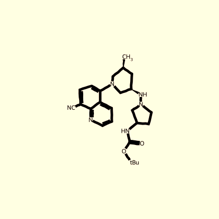 C[C@H]1C[C@@H](NN2CCC(NC(=O)OC(C)(C)C)C2)CN(c2ccc(C#N)c3ncccc23)C1